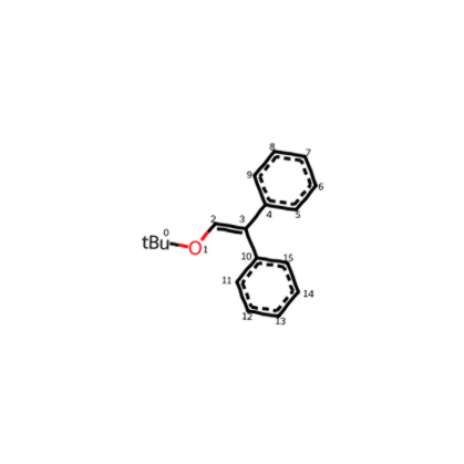 CC(C)(C)OC=C(c1ccccc1)c1ccccc1